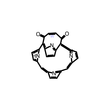 O=C1/C=C\C(=O)c2c3nc(c1c1ccc(cc4nc(cc5ccc2[nH]5)C=C4)[nH]1)C=C3